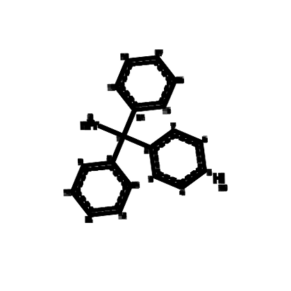 CCCC(c1ccccc1)(c1ccccc1)c1ccccc1.I